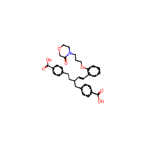 O=C(O)c1ccc(CCC(/C=C/c2ccccc2OCCCN2CCOCC2=O)Cc2ccc(C(=O)O)cc2)cc1